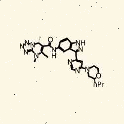 CCC[C@H]1CN(c2cc(-c3n[nH]c4ccc(NC(=O)C5=C(C)N(C)c6nnnn6[C@@H]5C)cc34)ncn2)CCO1